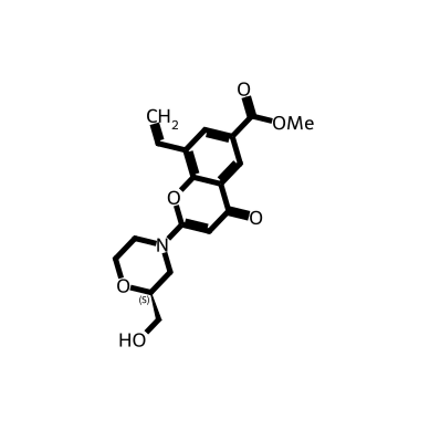 C=Cc1cc(C(=O)OC)cc2c(=O)cc(N3CCO[C@H](CO)C3)oc12